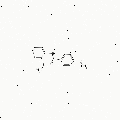 COc1ccc(C(=O)Nc2ccccc2SC)cc1